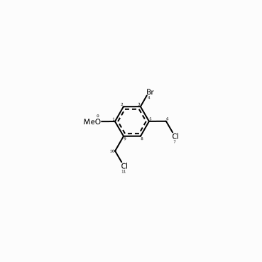 COc1cc(Br)c(CCl)cc1CCl